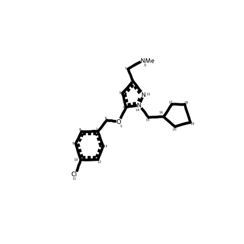 CNCc1cc(OCc2ccc(Cl)cc2)n(CC2CCCC2)n1